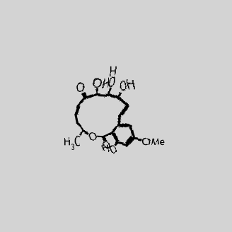 COc1cc(O)c2c(c1)/C=C/C(O)C(O)[C@H](O)C(=O)/C=C\C[C@H](C)OC2=O